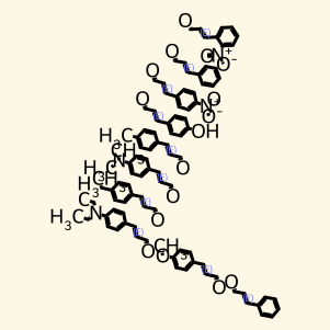 CCN(CC)c1ccc(/C=C/C=O)cc1.CCc1ccc(/C=C/C=O)cc1.CN(C)c1ccc(/C=C/C=O)cc1.COc1ccc(/C=C/C=O)cc1.Cc1ccc(/C=C/C=O)cc1.O=C/C=C/c1ccc(O)cc1.O=C/C=C/c1ccc([N+](=O)[O-])cc1.O=C/C=C/c1ccccc1.O=C/C=C/c1ccccc1.O=C/C=C/c1ccccc1[N+](=O)[O-]